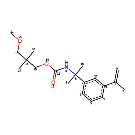 C=C(C)c1cccc(C(C)(C)NC(=O)OCC(C)(C)COC)c1